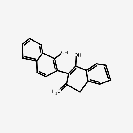 C=C1Cc2ccccc2C(O)=C1c1ccc2ccccc2c1O